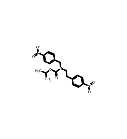 CC(C)OC(=O)N(CCc1ccc([N+](=O)[O-])cc1)Cc1ccc([N+](=O)[O-])cc1